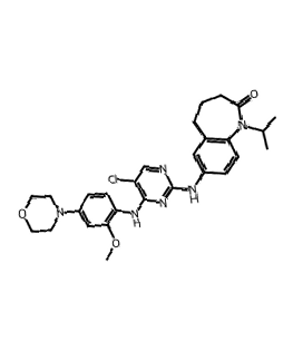 COc1cc(N2CCOCC2)ccc1Nc1nc(Nc2ccc3c(c2)CCCC(=O)N3C(C)C)ncc1Cl